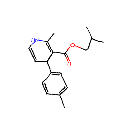 CC1=C(C(=O)OCC(C)C)C(c2ccc(C)cc2)C=CN1